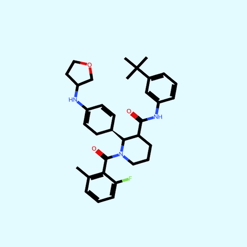 Cc1cccc(F)c1C(=O)N1CCCC(C(=O)Nc2cccc(C(C)(C)C)c2)C1[C@@H]1C=CC(NC2CCOC2)=CC1